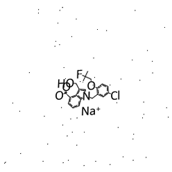 CC(C)(F)COc1ccc(Cl)cc1Cn1cc(CO)c2c(C(=O)[O-])cccc21.[Na+]